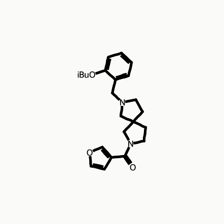 CC(C)COc1ccccc1CN1CCC2(CCN(C(=O)c3ccoc3)C2)C1